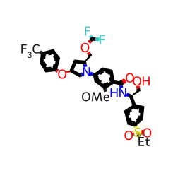 CCS(=O)(=O)c1ccc([C@H](CO)NC(=O)c2ccc(N3C[C@@H](Oc4ccc(C(F)(F)F)cc4)C[C@H]3COC(F)F)cc2OC)cc1